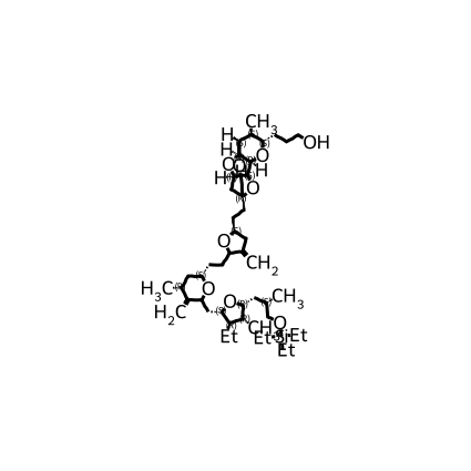 C=C1C[C@H](CC[C@@]23C[C@H]4O[C@@H]5[C@@H](O[C@@H](CCCO)[C@H](C)[C@@H]5O2)[C@H]4O3)OC1CC[C@H]1C[C@@H](C)C(=C)C(C[C@@H]2O[C@H](C[C@H](C)CO[Si](CC)(CC)CC)[C@H](C)[C@H]2CC)O1